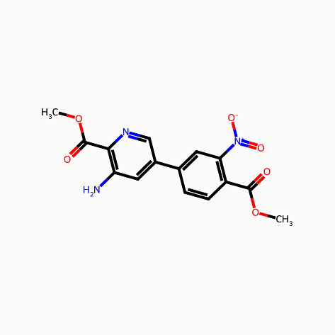 COC(=O)c1ccc(-c2cnc(C(=O)OC)c(N)c2)cc1[N+](=O)[O-]